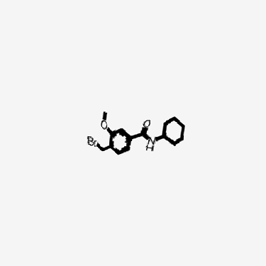 COc1cc(C(=O)NC2CCCCC2)ccc1CBr